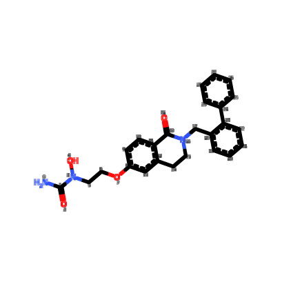 NC(=O)N(O)CCOc1ccc2c(c1)CCN(Cc1ccccc1-c1ccccc1)C2=O